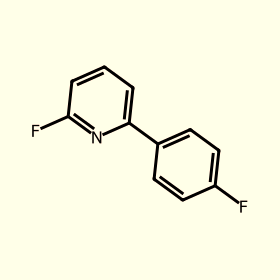 Fc1ccc(-c2cccc(F)n2)cc1